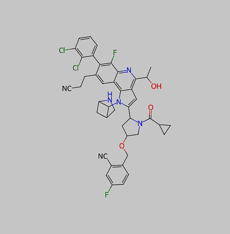 CC(O)c1nc2c(F)c(-c3cccc(Cl)c3Cl)c(CCC#N)cc2c2c1cc(C1CC(OCc3ccc(F)cc3C#N)CN1C(=O)C1CC1)n2C1C2CNC1C2